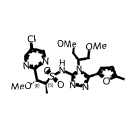 COCC(COC)n1c(NS(=O)(=O)[C@@H](C)[C@H](OC)c2ncc(Cl)cn2)nnc1-c1ccc(C)o1